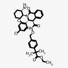 CCOC(=O)C(C)(C)c1ccc(CONC(=O)[C@@H]2c3ccccc3C(=O)N([C@H]3CCCC[C@@H]3N)[C@H]2c2ccc(Cl)cc2Cl)cc1